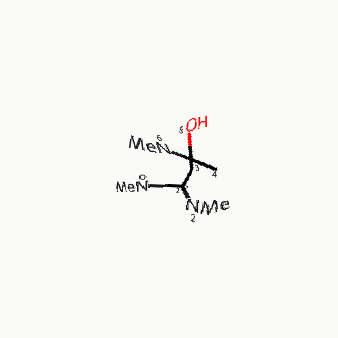 CN[C](NC)C(C)(O)NC